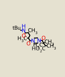 CC(CC(C)C(=O)N1CCN(C(=O)C(C)(C)C(C)C(=O)O)CC1)C(=O)NCC(C)(C)C